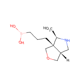 O=C(O)[C@H]1NC[C@@H]2COC[C@@]21CCCB(O)O